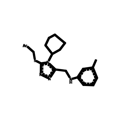 CC(=O)CSc1nnc(CNc2cccc(C)c2)n1C1CCCCC1